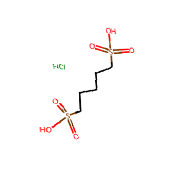 Cl.O=S(=O)(O)CCCCCS(=O)(=O)O